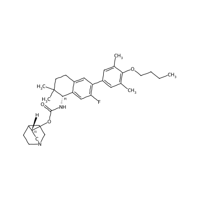 CCCCOc1c(C)cc(-c2cc3c(cc2F)[C@H](NC(=O)O[C@@H]2CN4CCC2CC4)C(C)(C)CC3)cc1C